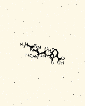 Nc1nc(C(=NO)C(=O)N[C@@H]2C(=O)N3C(C(=O)O)=CCS[C@@H]23)ns1